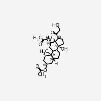 CC(=O)O[C@H]1CC[C@]2(C)C3C[C@@H](OC(C)=O)[C@]4(C)[C@@H](C(=O)CO)CC[C@]4(O)C3CC[C@@H]2C1